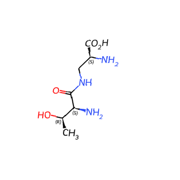 C[C@@H](O)[C@H](N)C(=O)NC[C@H](N)C(=O)O